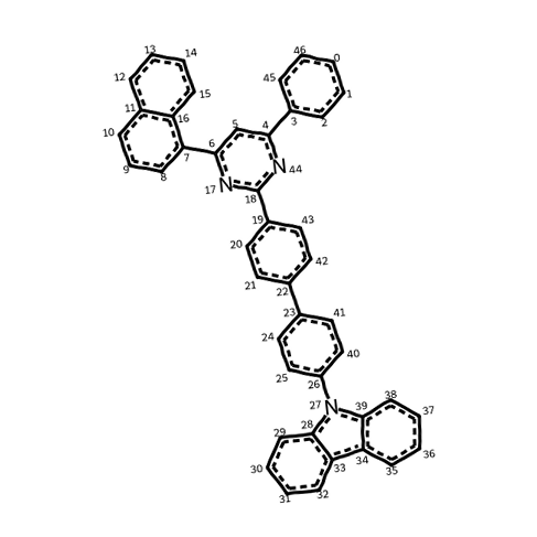 c1ccc(-c2cc(-c3cccc4ccccc34)nc(-c3ccc(-c4ccc(-n5c6ccccc6c6ccccc65)cc4)cc3)n2)cc1